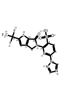 CCS(=O)(=O)c1ccc(-n2cncn2)nc1N1Cc2cc(C(F)(F)C(F)(F)F)sc2C1=O